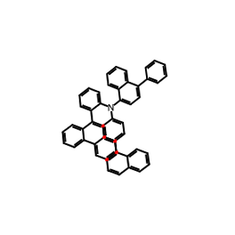 c1ccc(-c2ccc(N(c3ccc(-c4cccc5ccccc45)cc3)c3ccccc3-c3cc4ccccc4c4ccccc34)c3ccccc23)cc1